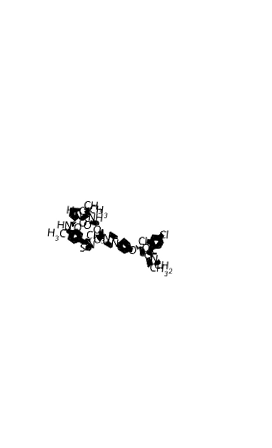 C=CN(/C=C\C)C[C@]1(c2ccc(Cl)cc2Cl)OC[C@H](COc2ccc(N3CCN(C(=O)COCC(=O)NC(C(=O)N4CCC[C@H]4C(=O)NC(C)c4ccc(-c5scnc5C)cc4)C(C)(C)C)CC3)cc2)O1